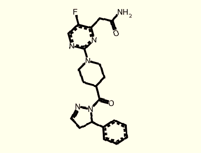 NC(=O)Cc1nc(N2CCC(C(=O)N3N=CCC3c3ccccc3)CC2)ncc1F